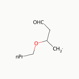 [CH2]C(CC=O)OCCCC